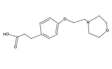 O=C(O)CCc1ccc(OCCN2CCOCC2)cc1